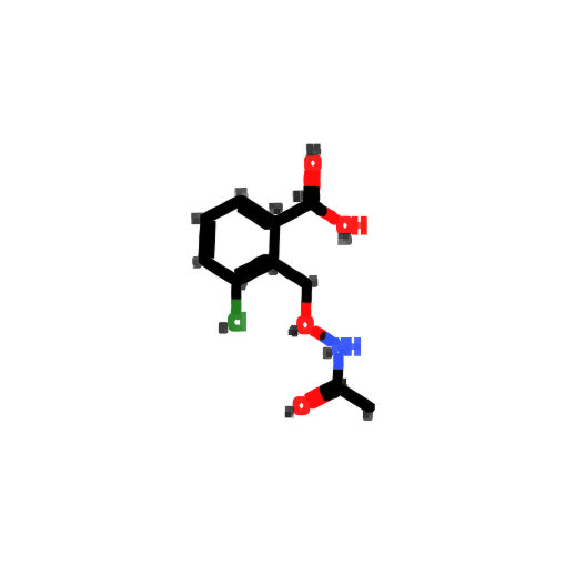 CC(=O)NOCc1c(Cl)cccc1C(=O)O